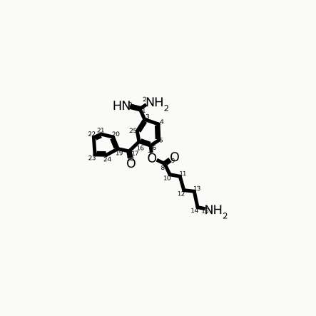 N=C(N)c1ccc(OC(=O)CCCCCN)c(C(=O)c2ccccc2)c1